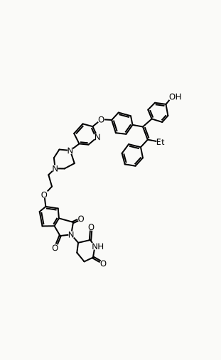 CCC(=C(c1ccc(O)cc1)c1ccc(Oc2ccc(N3CCN(CCOc4ccc5c(c4)C(=O)N(C4CCC(=O)NC4=O)C5=O)CC3)cn2)cc1)c1ccccc1